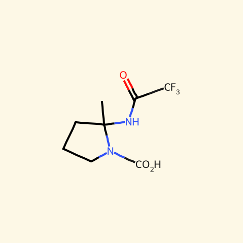 CC1(NC(=O)C(F)(F)F)CCCN1C(=O)O